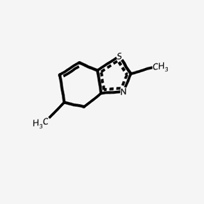 Cc1nc2c(s1)C=CC(C)C2